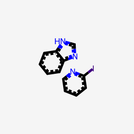 Ic1ccccn1.c1ccc2[nH]cnc2c1